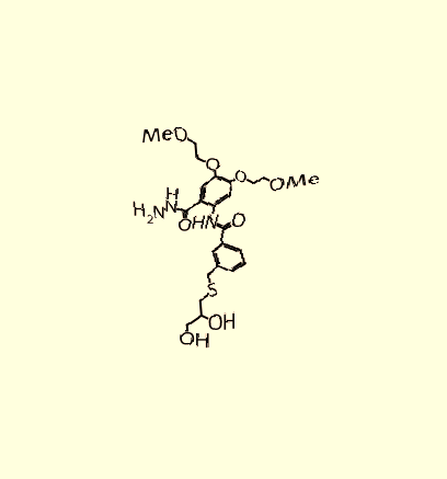 COCCOc1cc(NC(=O)c2cccc(CSCC(O)CO)c2)c(C(=O)NN)cc1OCCOC